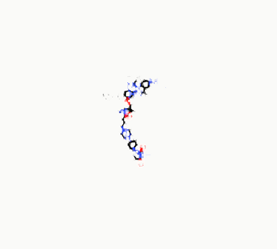 COc1cc2nc(C)nc(N[C@H](C)c3cc(N)cc(C(F)(F)F)c3)c2cc1OCC1(CN(C)C(=O)CCCN2CCN(c3ccc(N4CCC(=O)NC4=O)cc3)CC2)CC1